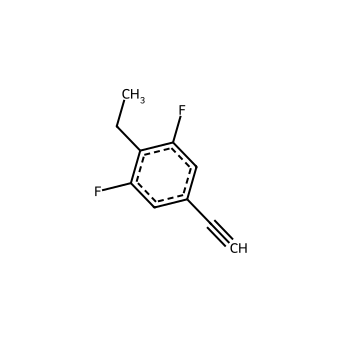 C#Cc1cc(F)c(CC)c(F)c1